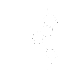 CNC1CCN(c2nc(N)nc3c2oc2ccc(Cl)cc23)C1